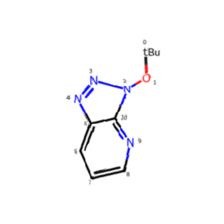 CC(C)(C)On1nnc2cccnc21